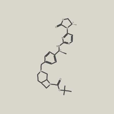 C[C@H](Nc1nccc(N2C(=O)OC[C@@H]2C)n1)c1ccc(CN2CCC3CN(C(=O)OC(C)(C)C)C3C2)cc1